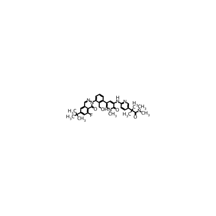 CN(C)C(=O)C(C)(C)c1ccc(Nc2cc(-c3cccc(-n4ncc5cc(C(C)(C)C)cc(F)c5c4=O)c3CO)cn(C)c2=O)nc1